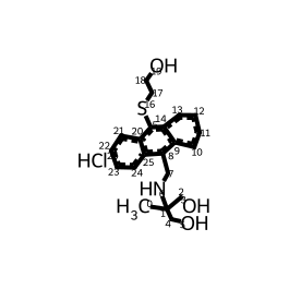 CC(CO)(CO)NCc1c2ccccc2c(SCCO)c2ccccc12.Cl